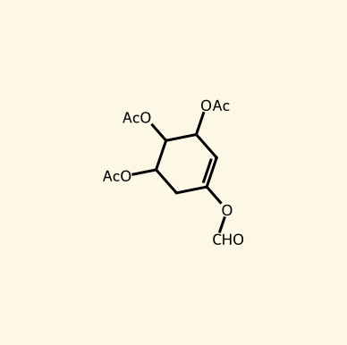 CC(=O)OC1C=C(OC=O)CC(OC(C)=O)C1OC(C)=O